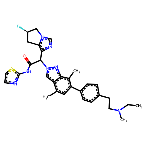 CCN(C)CCc1ccc(-c2cc(C)c3cn(C(C(=O)Nc4nccs4)c4ncn5c4C[C@@H](F)C5)nc3c2C)cc1